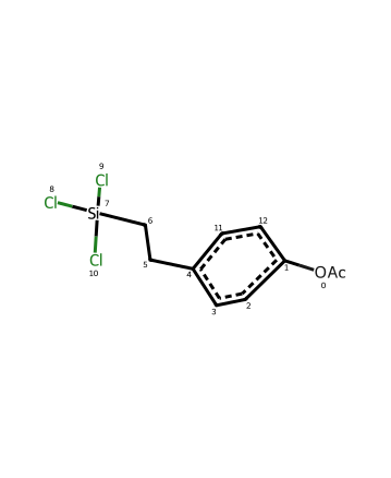 CC(=O)Oc1ccc(CC[Si](Cl)(Cl)Cl)cc1